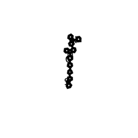 c1ccc(-n2c3ccccc3c3ccc(-c4cccc5c4c4ccccc4n5-c4ccc(-c5ccc(-c6ccc(-c7ccc8c(c7)sc7ccccc78)cc6)cc5)cc4)cc32)cc1